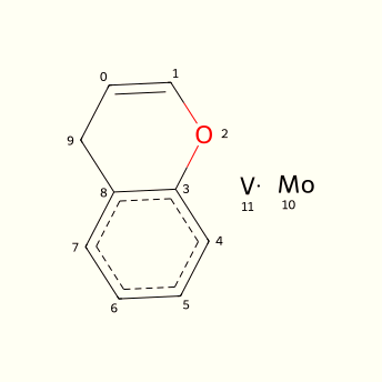 C1=COc2ccccc2C1.[Mo].[V]